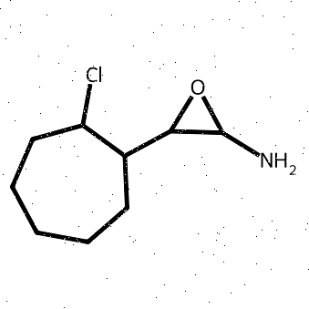 NC1OC1C1CCCCCC1Cl